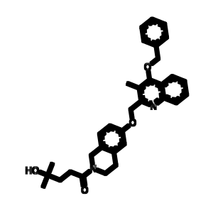 Cc1c(COc2ccc3c(c2)CCN(C(=O)CCC(C)(C)O)C3)nc2ccccc2c1OCc1ccccc1